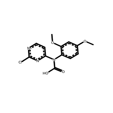 COc1ccc(N(C(=O)O)c2ccnc(Cl)n2)c(OC)c1